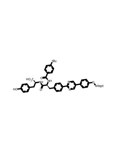 CCCCCCCOc1ccc(-c2cnc(-c3ccc(C[C@H](NC(=O)c4ccc(C(C)(C)C)cc4)C(=O)N[C@@H](Cc4ccc(O)cc4)C(=O)O)cc3)nc2)cc1